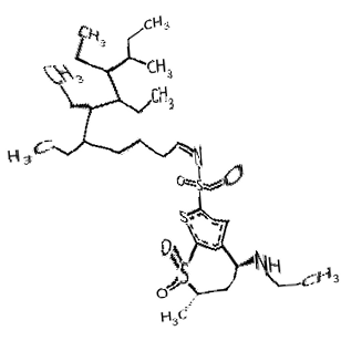 CCN[C@H]1C[C@H](C)S(=O)(=O)c2sc(S(=O)(=O)/N=C\CCCC(CC)C(CC)C(CC)C(CC)C(C)CC)cc21